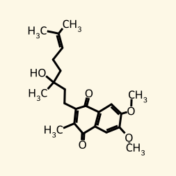 COc1cc2c(cc1OC)C(=O)C(CCC(C)(O)CCC=C(C)C)=C(C)C2=O